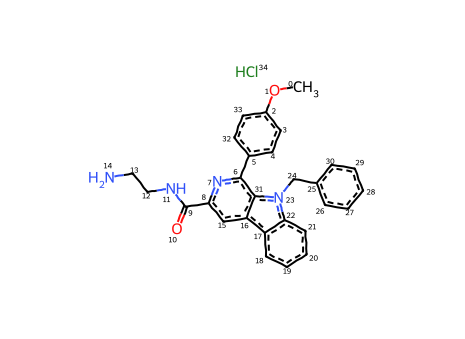 COc1ccc(-c2nc(C(=O)NCCN)cc3c4ccccc4n(Cc4ccccc4)c23)cc1.Cl